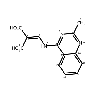 Cc1nc(NC=C(C(=O)O)C(=O)O)c2ccccc2n1